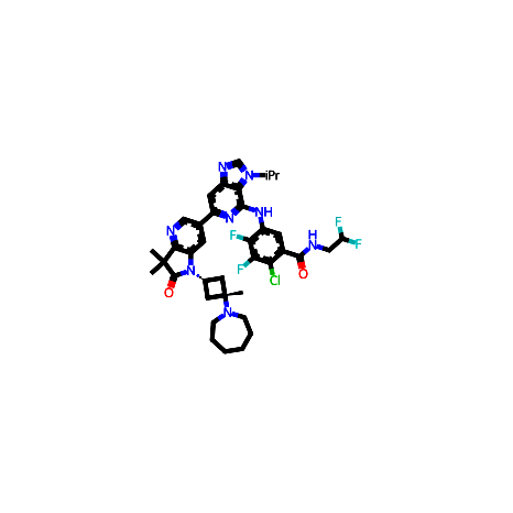 CC(C)n1cnc2cc(-c3cnc4c(c3)N([C@H]3C[C@@](C)(N5CCCCCC5)C3)C(=O)C4(C)C)nc(Nc3cc(C(=O)NCC(F)F)c(Cl)c(F)c3F)c21